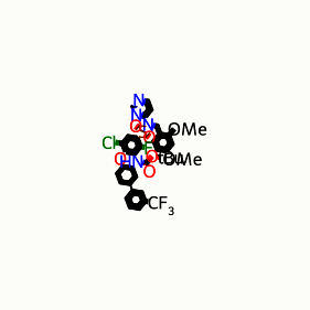 COc1ccc(CN(c2ccncn2)S(=O)(=O)c2cc(Cl)c(O[C@H]3CC[C@H](c4cccc(C(F)(F)F)c4)C[C@@H]3NC(=O)OC(C)(C)C)cc2F)c(OC)c1